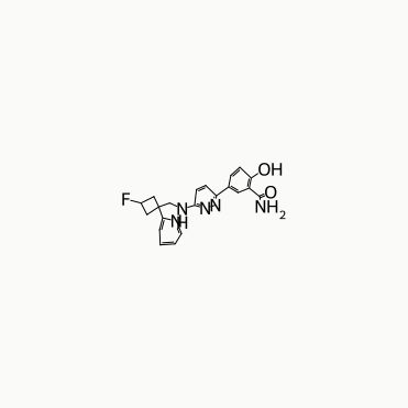 NC(=O)c1cc(-c2ccc(NCC3(c4ccccn4)CC(F)C3)nn2)ccc1O